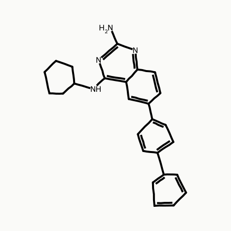 Nc1nc(NC2CCCCC2)c2cc(-c3ccc(-c4ccccc4)cc3)ccc2n1